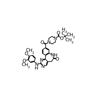 COc1ccc(Nc2ncc3c(n2)-c2ccc(C(=O)N4CCN(C(=O)OC(C)(C)C)CC4)cc2NC(=O)C3)cc1OC